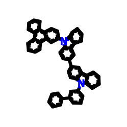 c1ccc(-c2cccc(-n3c4ccccc4c4cc(-c5ccc6c(c5)c5ccccc5n6-c5ccc6c7ccccc7c7ccccc7c6c5)ccc43)c2)cc1